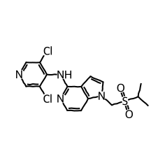 CC(C)S(=O)(=O)Cn1ccc2c(Nc3c(Cl)cncc3Cl)nccc21